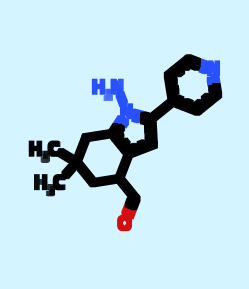 CC1(C)Cc2c(cc(-c3ccncc3)n2N)C(C=O)C1